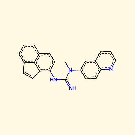 CN(C(=N)Nc1ccc2cccc3c2c1C=C3)c1ccc2ncccc2c1